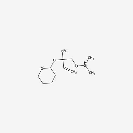 C=CC(CCCC)(CO[SiH](C)C)OC1CCCCO1